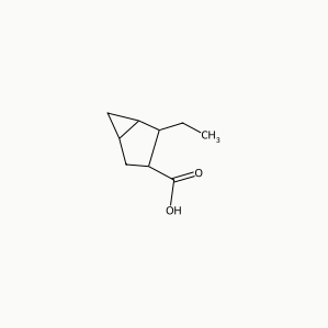 CCC1C(C(=O)O)CC2CC21